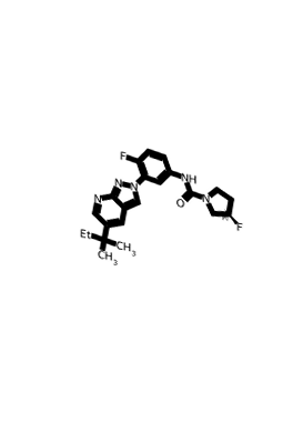 CCC(C)(C)c1cnc2nn(-c3cc(NC(=O)N4CC[C@@H](F)C4)ccc3F)cc2c1